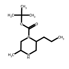 CCCC1CNC(C)CN1C(=O)OC(C)(C)C